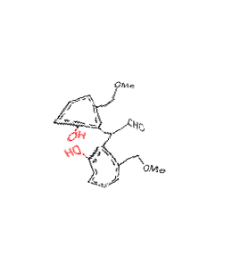 COCc1cccc(O)c1C(C=O)c1c(O)cccc1COC